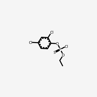 CCOP(=S)(Cl)Oc1ccc(Cl)cc1Cl